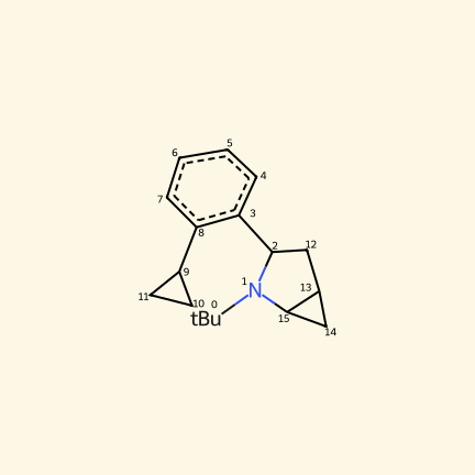 CC(C)(C)N1C(c2ccccc2C2CC2)CC2CC21